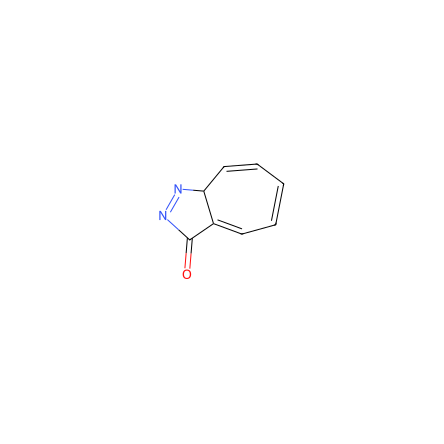 O=C1N=NC2C=CC=CC=C12